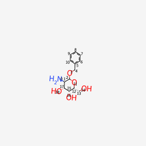 N[C@H]1C(OCc2ccccc2)O[C@H](CO)[C@H](O)[C@@H]1O